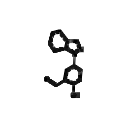 O=Cc1cc(-n2ncc3ccccc32)ccc1O